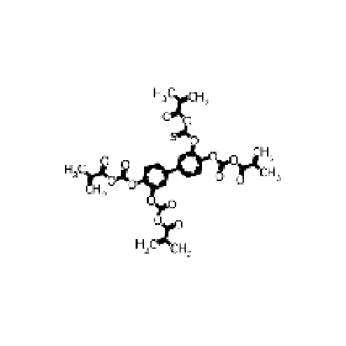 C=C(C)C(=O)OC(=O)Oc1ccc(-c2ccc(OC(=O)OC(=O)C(=C)C)c(OC(=S)OC(=O)C(=C)C)c2)cc1OC(=O)OC(=O)C(=C)C